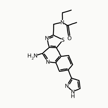 CCN(Cc1nc2c(N)nc3cc(-c4cc[nH]n4)ccc3c2s1)C(C)=O